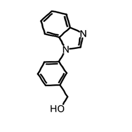 OCc1cccc(-n2cnc3ccccc32)c1